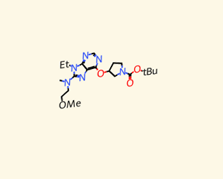 CCn1c(N(C)CCOC)nc2c(OC3CCN(C(=O)OC(C)(C)C)C3)ncnc21